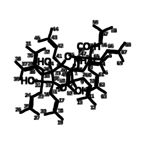 CC(=O)N[C@@]1(CC=C(C)C)C(O)(CC=C(C)C)O[C@](CC=C(C)C)(C(O)(CC=C(C)C)CC=C(C)C)[C@](O)(CC=C(C)C)[C@]1(CC=C(C)C)O[C@@](CC=C(C)C)(C(=O)O)C(CC=C(C)C)(CC=C(C)C)CC=C(C)C